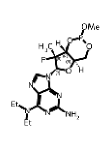 CCN(CC)c1nc(N)nc2c1ncn2[C@@H]1O[C@@H]2COP(OC)O[C@H]2[C@@]1(C)F